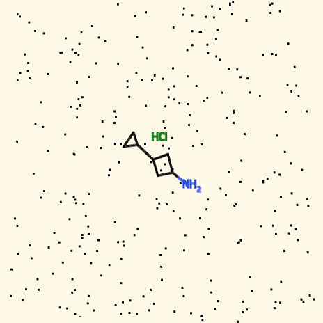 Cl.NC1CC(C2CC2)C1